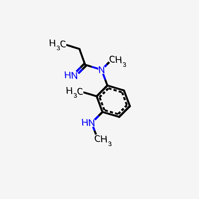 CCC(=N)N(C)c1cccc(NC)c1C